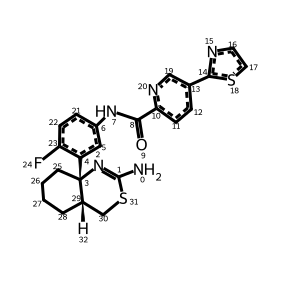 NC1=N[C@@]2(c3cc(NC(=O)c4ccc(-c5nccs5)cn4)ccc3F)CCCC[C@H]2CS1